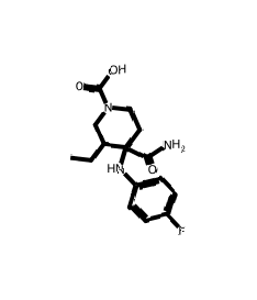 CCC1CN(C(=O)O)CCC1(Nc1ccc(F)cc1)C(N)=O